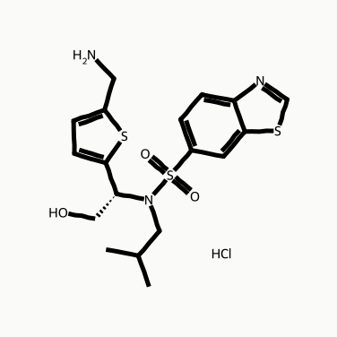 CC(C)CN([C@H](CO)c1ccc(CN)s1)S(=O)(=O)c1ccc2ncsc2c1.Cl